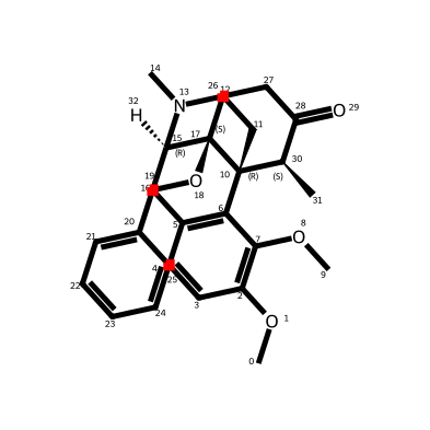 COc1ccc2c(c1OC)[C@]13CCN(C)[C@H](C2)[C@]1(OCc1ccccc1)CCC(=O)[C@H]3C